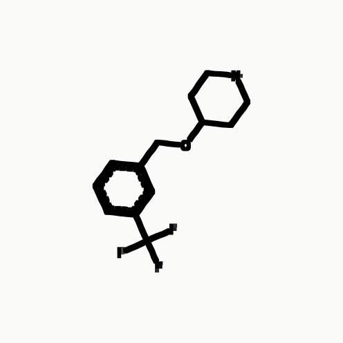 FC(F)(F)c1cccc(COC2CC[N]CC2)c1